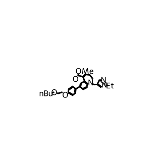 CCCCOCCOc1ccc(-c2ccc3c(c2)C(C(=O)OC)=CCCN3Cc2cnn(CC)c2)cc1